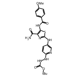 COc1ccc(C(=O)Nc2sc(Nc3ccc(NNC(=O)OC(C)(C)C)nc3)nc2C(N)=O)cc1